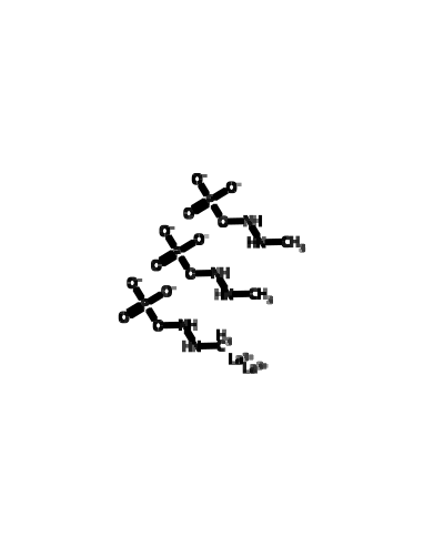 CNNOP(=O)([O-])[O-].CNNOP(=O)([O-])[O-].CNNOP(=O)([O-])[O-].[La+3].[La+3]